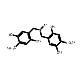 CC(=O)N(Cc1cc(O)c(C(=O)O)cc1O)Cc1cc(O)c(C(=O)O)cc1O